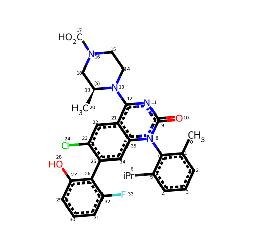 Cc1cccc(C(C)C)c1-n1c(=O)nc(N2CCN(C(=O)O)C[C@@H]2C)c2cc(Cl)c(-c3c(O)cccc3F)cc21